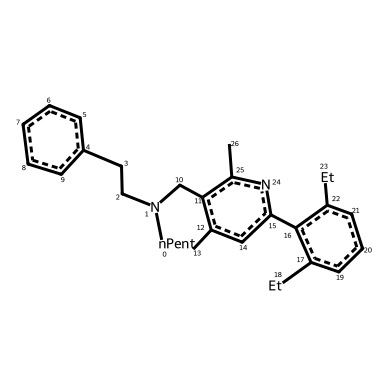 CCCCCN(CCc1ccccc1)Cc1c(C)cc(-c2c(CC)cccc2CC)nc1C